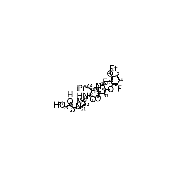 CCOc1ccc(F)c(Oc2cnn(C(CC(C)C)C(=O)Nc3ccn(C[C@@H](O)CO)n3)c(=O)c2)c1F